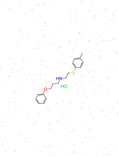 Cc1ccc(SCCNCCCOc2ccccc2)cc1.Cl